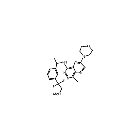 COCC(F)(F)c1cccc(C(C)Nc2nnc(C)c3ncc(N4CCOCC4)cc23)c1